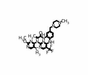 C=CC(=O)Nc1cc(CN2CCN(C)CC2)ccc1Nc1nc(Nc2nc(OC)ncc2C)ncc1C(F)(F)F